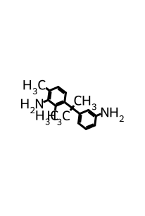 Cc1ccc(C(C)(C)c2cccc(N)c2)c(C)c1N